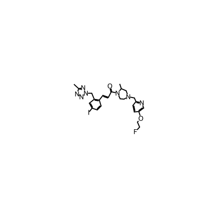 Cc1nnn(Cc2cc(I)ccc2C=CC(=O)N2CCN(Cc3ccc(OCCF)cn3)CC2C)n1